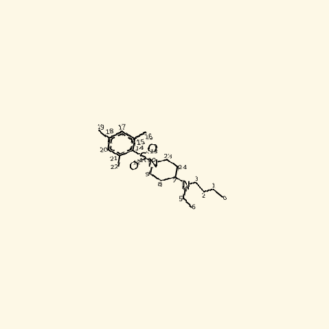 CCCCN(CC)C1CCN(S(=O)(=O)c2c(C)cc(C)cc2C)CC1